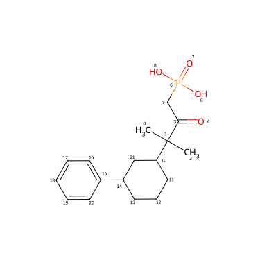 CC(C)(C(=O)CP(=O)(O)O)C1CCCC(c2ccccc2)C1